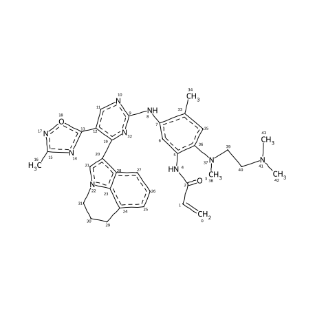 C=CC(=O)Nc1cc(Nc2ncc(-c3nc(C)no3)c(-c3cn4c5c(cccc35)CCC4)n2)c(C)cc1N(C)CCN(C)C